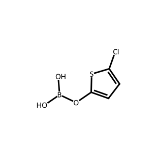 OB(O)Oc1ccc(Cl)s1